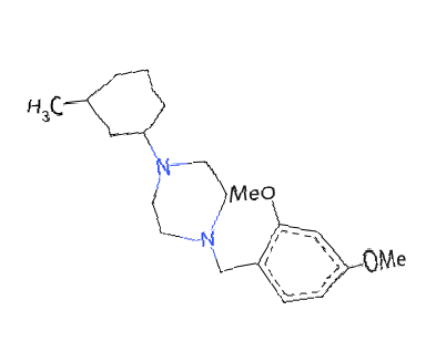 COc1ccc(CN2CCN(C3CCCC(C)C3)CC2)c(OC)c1